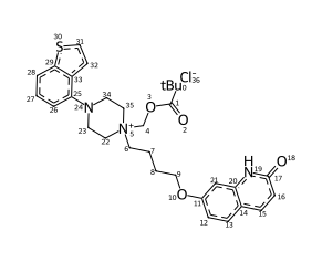 CC(C)(C)C(=O)OC[N+]1(CCCCOc2ccc3ccc(=O)[nH]c3c2)CCN(c2cccc3sccc23)CC1.[Cl-]